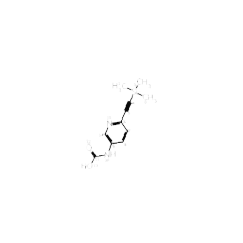 C[Si](C)(C)C#Cc1ccc(NC(=O)O)cn1